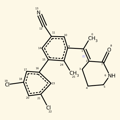 C/C(=C1/CCCNC1=O)c1cc(C#N)cc(-c2cc(Cl)cc(Cl)c2)c1C